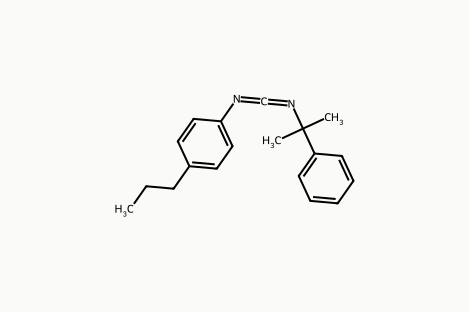 CCCc1ccc(N=C=NC(C)(C)c2ccccc2)cc1